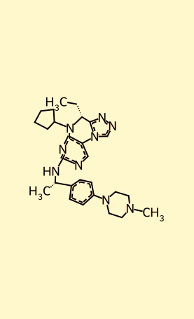 CC[C@@H]1c2nncn2-c2cnc(N[C@@H](C)c3ccc(N4CCN(C)CC4)cc3)nc2N1C1CCCC1